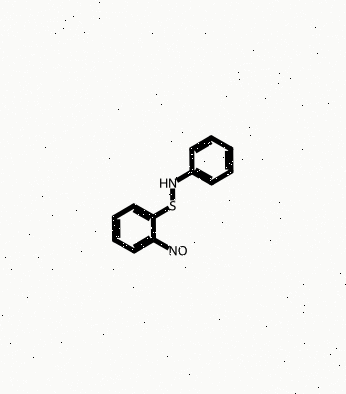 O=Nc1ccccc1SNc1ccccc1